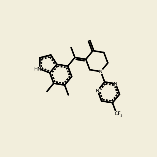 C=C1CCN(c2ncc(C(F)(F)F)cn2)C/C1=C(/C)c1cc(C)c(C)c2[nH]ccc12